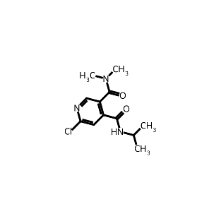 CC(C)NC(=O)c1cc(Cl)ncc1C(=O)N(C)C